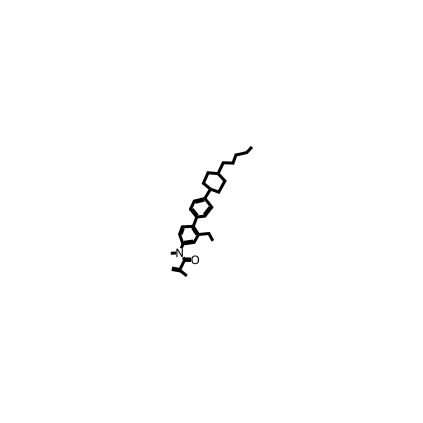 C=C(C)C(=O)N(C)c1ccc(-c2ccc(C3CCC(CCCCC)CC3)cc2)c(CC)c1